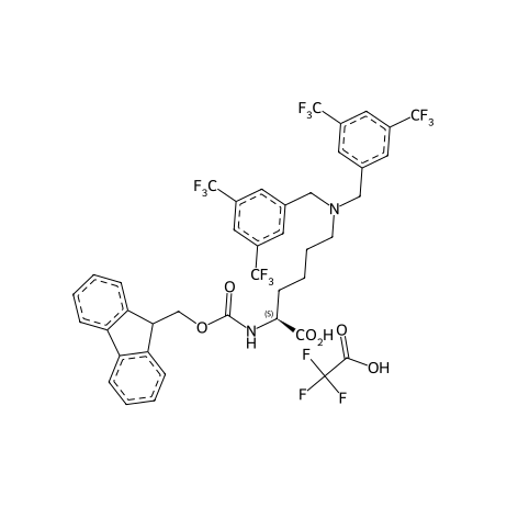 O=C(N[C@@H](CCCCN(Cc1cc(C(F)(F)F)cc(C(F)(F)F)c1)Cc1cc(C(F)(F)F)cc(C(F)(F)F)c1)C(=O)O)OCC1c2ccccc2-c2ccccc21.O=C(O)C(F)(F)F